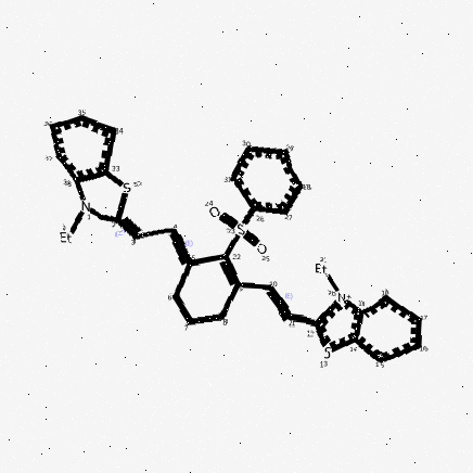 CCN1/C(=C/C=C2\CCCC(/C=C/c3sc4ccccc4[n+]3CC)=C2S(=O)(=O)c2ccccc2)Sc2ccccc21